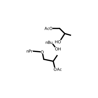 CC(=O)OCC(C)O.CCCCO.CCCOCC(C)OC(C)=O